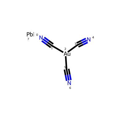 N#[C][Au]([C]#N)[C]#N.[Pb]